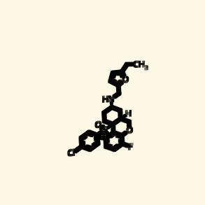 CCc1ccc(CN[C@@H]2CC[C@@]3(S(=O)(=O)c4ccc(Cl)cc4)c4c(F)ccc(F)c4OC[C@H]3C2)o1